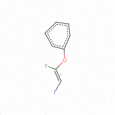 F/C(=C\I)Oc1cc[c]cc1